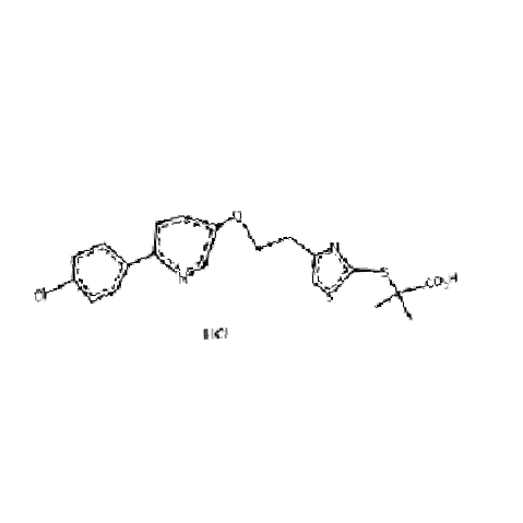 CC(C)(Sc1nc(CCOc2ccc(-c3ccc(Cl)cc3)nc2)cs1)C(=O)O.Cl